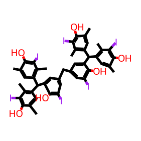 Cc1cc(C(c2cc(C)c(O)c(I)c2C)c2cc(Cc3cc(I)c(O)c(C(c4cc(C)c(O)c(I)c4C)c4cc(C)c(O)c(I)c4C)c3)cc(I)c2O)c(C)c(I)c1O